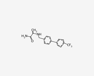 C=C(NCc1ccc(-c2ccc(C(F)(F)F)cc2)cc1)C(N)=O